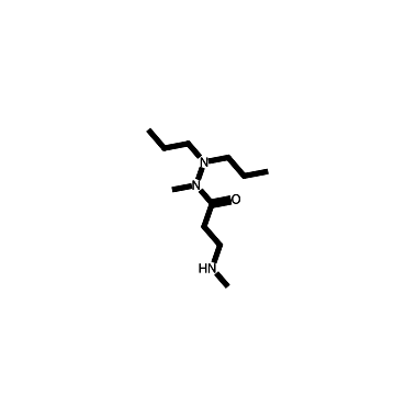 CCCN(CCC)N(C)C(=O)CCNC